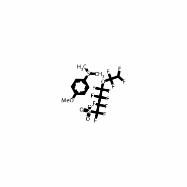 COc1ccc([S+](C)C)cc1.O=S(=O)([O-])C(F)(F)C(F)(F)C(F)(F)C(F)(F)OC(F)(F)C(F)F